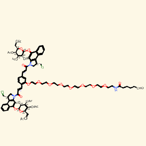 CC(=O)OC[C@H]1O[C@@H](Oc2cc3c(c4ccccc24)[C@H](CCl)CN3C(=O)/C=C/c2ccc(/C=C/C(=O)N3C[C@@H](CCl)c4c3cc(O[C@@H]3O[C@H](COC(C)=O)[C@H](OC(C)=O)[C@H](OC(C)=O)[C@H]3OC(C)=O)c3ccccc43)c(OCCOCCOCCOCCOCCOCCOCCOCCNC(=O)CCCCC=O)c2)[C@H](OC(C)=O)[C@@H](OC(C)=O)[C@H]1OC(C)=O